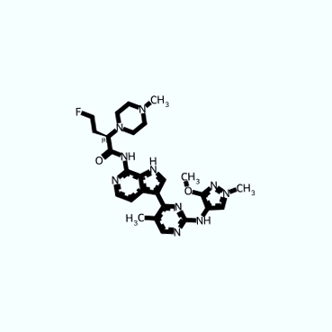 COc1nn(C)cc1Nc1ncc(C)c(-c2c[nH]c3c(NC(=O)[C@@H](CCF)N4CCN(C)CC4)nccc23)n1